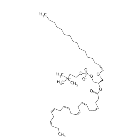 CC/C=C\C/C=C\C/C=C\C/C=C\C/C=C\C/C=C\CCC(=O)O[C@H](CO/C=C\CCCCCCCCCCCCCC)COP(=O)([O-])OCC[N+](C)(C)C